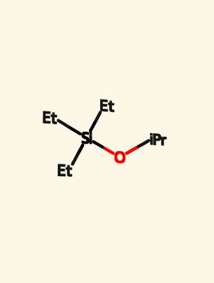 [CH2]C(C)O[Si](CC)(CC)CC